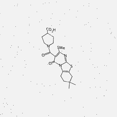 CSc1nc2sc3c(n2c(=O)c1C(=O)N1CCC(C(=O)O)CC1)CCC(C)(C)C3